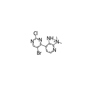 CN(C)c1nccc(-c2nc(Cl)ncc2Br)c1N